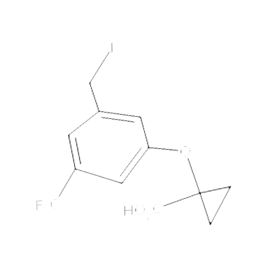 O=C(O)C1(Oc2cc(CI)cc(C(F)(F)F)c2)CC1